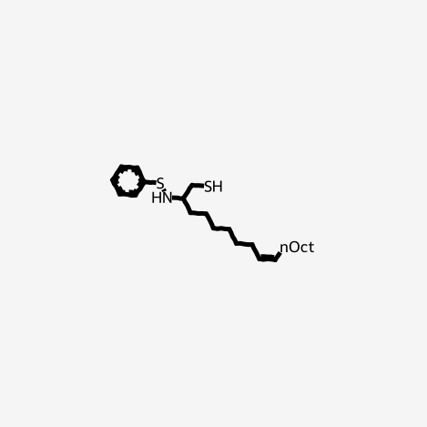 CCCCCCCC/C=C\CCCCCCC(CS)NSc1ccccc1